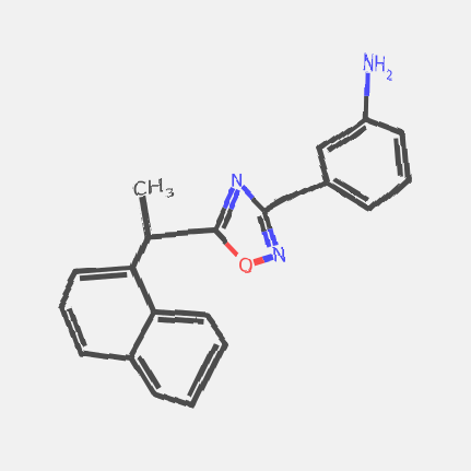 CC(c1nc(-c2cccc(N)c2)no1)c1cccc2ccccc12